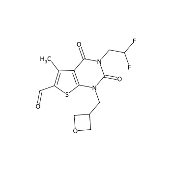 Cc1c(C=O)sc2c1c(=O)n(CC(F)F)c(=O)n2CC1COC1